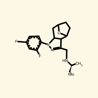 C[C@H](NCC1=NN(c2ccc(F)cc2F)C2CC3CCC(O3)C12)C(C)(C)C